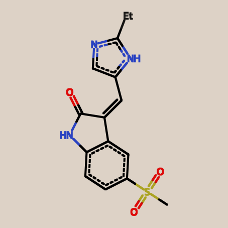 CCc1ncc(/C=C2\C(=O)Nc3ccc(S(C)(=O)=O)cc32)[nH]1